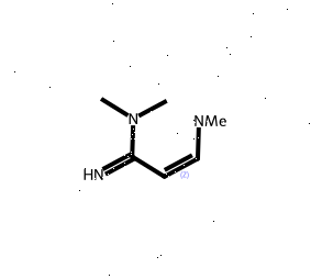 CN/C=C\C(=N)N(C)C